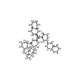 c1cc(-c2ccc3ccccc3c2)cc(N(c2ccc3c(c2)-c2ccccc2C32C3CC4CC(C3)CC2C4)c2ccc3ccccc3c2)c1